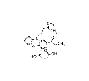 CCC(=O)c1ccc2c(c1)N(CCCN(C)C)c1ccccc1S2.O=C(O)/C=C\C(=O)O